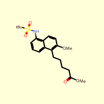 COC(=O)CCCCc1c(OC)ccc2c(NS(=O)(=O)C(C)(C)C)cccc12